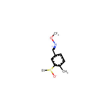 CC[S+]([O-])c1cc(/C=N/OC(F)(F)F)ccc1C